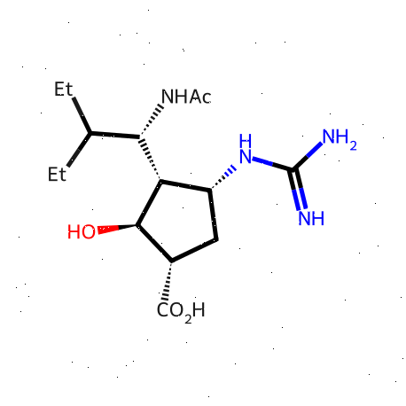 CCC(CC)[C@H](NC(C)=O)[C@H]1[C@H](O)[C@@H](C(=O)O)C[C@H]1NC(=N)N